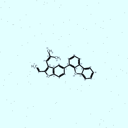 C=Cc1oc2ccc(-c3cccc4c3oc3ccccc34)cc2c1C=C(C)C